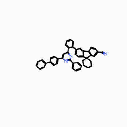 N#Cc1ccc2c(c1)C1(CCCCC1)c1ccc(-c3ccccc3-c3cc(-c4ccc(-c5ccccc5)cc4)nc(-c4ccccc4)n3)cc1-2